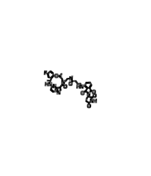 CC1Nc2ccn3ncc(c3n2)C(=O)N(CCN(C)C(=O)CCCNc2cccc3c2C(=O)N(C2CCC(=O)NC2=O)C3=O)C[C@H](C)Oc2ccc(F)cc21